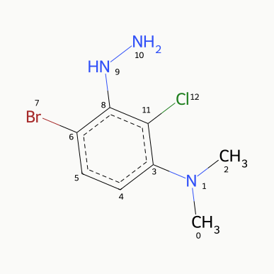 CN(C)c1ccc(Br)c(NN)c1Cl